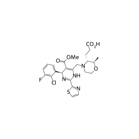 COC(=O)C1=C(CN2CCO[C@H](C)[C@H]2CCC(=O)O)NC(c2nccs2)=N[C@H]1c1cccc(F)c1Cl